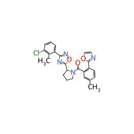 Cc1ccc(-c2ncco2)c(C(=O)N2CCCC2c2nc(-c3cccc(Cl)c3C)no2)c1